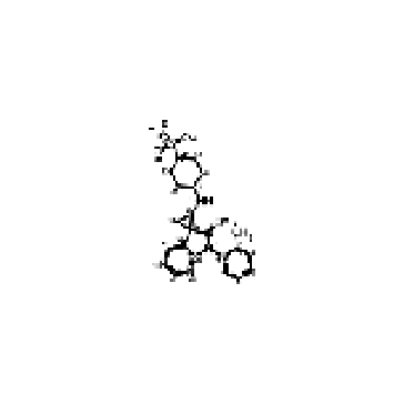 Cc1ccccc1N1C(=O)C2(CC2NC2CCN(S(C)(=O)=O)CC2)c2cncnc21